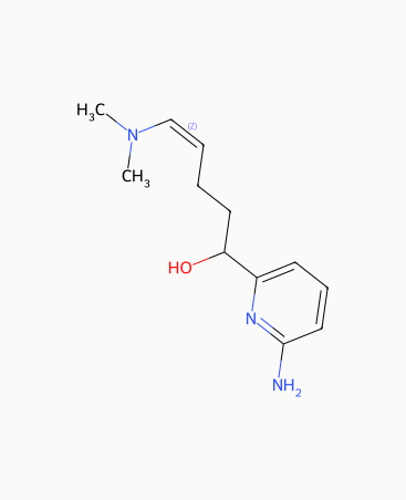 CN(C)/C=C\CCC(O)c1cccc(N)n1